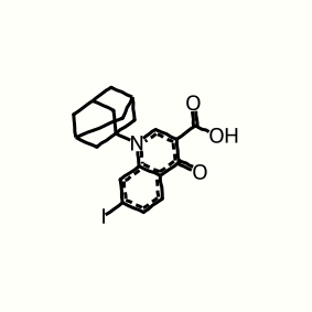 O=C(O)c1cn(C23CC4CC(CC(C4)C2)C3)c2cc(I)ccc2c1=O